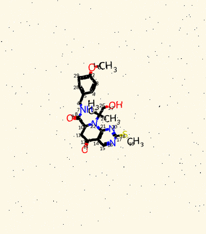 COc1ccc(CNC(=O)C2CC(=O)c3cnc(SC)nc3N2C(C)(C)CO)cc1